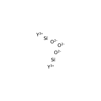 [O-2].[O-2].[O-2].[Si].[Si].[Y+3].[Y+3]